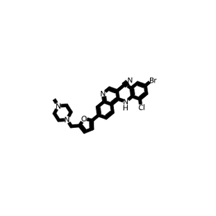 Cc1cc(Br)cc(Cl)c1Nc1c(C#N)cnc2cc(-c3ccc(CN4CCN(C)CC4)o3)ccc12